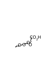 C=CCOCCOCCOC(=O)CCCC(=O)O